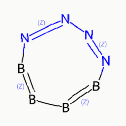 B1=B\N=N/N=N\B=B/1